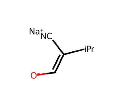 CC(C)C(C#N)=C[O-].[Na+]